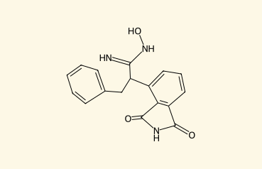 N=C(NO)C(Cc1ccccc1)c1cccc2c1C(=O)NC2=O